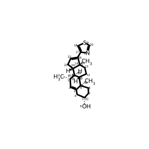 C[C@H]1C=C2C[C@@H](O)CC[C@]2(C)[C@H]2CC[C@]3(C)C(c4cscn4)=CC[C@H]3[C@H]12